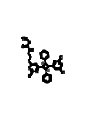 CC(C)(C)OC(=O)NCCSc1cc(C2[C@@H](c3ccccc3)C(c3cc(Cl)nc(Cl)n3)[C@@H]2c2ccccc2)nc(Cl)n1